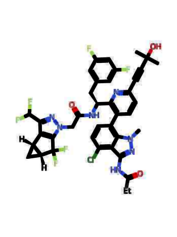 CCC(=O)Nc1nn(C)c2c(-c3ccc(C#CC(C)(C)O)nc3[C@H](Cc3cc(F)cc(F)c3)NC(=O)Cn3nc(C(F)F)c4c3C(F)(F)[C@@H]3C[C@H]43)ccc(Cl)c12